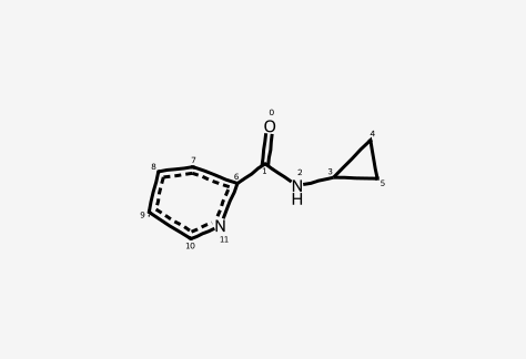 O=C(NC1CC1)c1cc[c]cn1